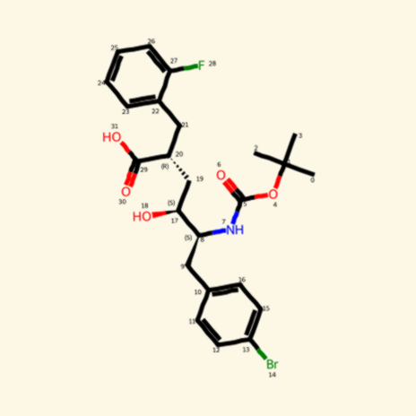 CC(C)(C)OC(=O)N[C@@H](Cc1ccc(Br)cc1)[C@@H](O)C[C@@H](Cc1ccccc1F)C(=O)O